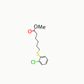 COC(=O)CCCCCSc1ccccc1Cl